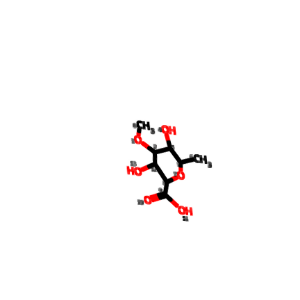 COC1C(O)C(C)OC(C(=O)O)C1O